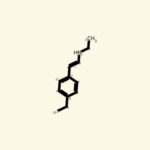 CCN/C=C/c1ccc(CI)cc1